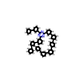 c1ccc(-c2cccc(-c3cccc(-c4ccc(-c5cccc(-c6cccc(-c7nc(-c8cccc(-c9ccccc9)c8)nc(-c8cccc(-c9cccc(-c%10ccccc%10)c9)c8)n7)c6)c5)cc4)c3)c2)cc1